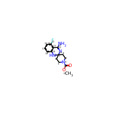 COC(=O)N1CCC2(CC1)N=C(N)c1c(F)cccc1N2